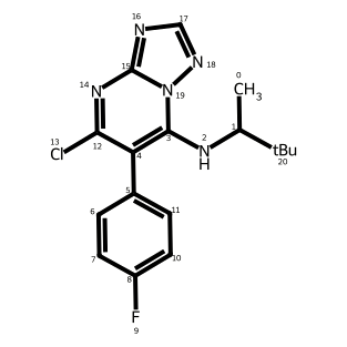 CC(Nc1c(-c2ccc(F)cc2)c(Cl)nc2ncnn12)C(C)(C)C